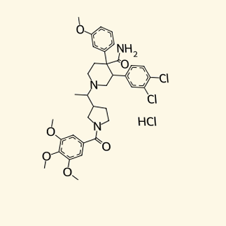 COc1cccc(C2(C(N)=O)CCN(C(C)C3CCN(C(=O)c4cc(OC)c(OC)c(OC)c4)C3)CC2c2ccc(Cl)c(Cl)c2)c1.Cl